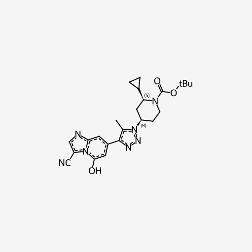 Cc1c(-c2cc(O)n3c(C#N)cnc3c2)nnn1[C@@H]1CCN(C(=O)OC(C)(C)C)[C@H](C2CC2)C1